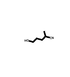 [CH2]C(C#N)CCCO